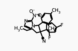 CCCCC(C#N)(c1ccc(F)cc1F)C(c1ccc(C)cc1C)n1ccnc1[N+](=O)[O-]